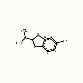 N#CC(O)C1Cc2ccc(F)cc2C1